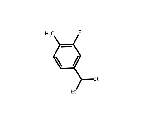 CCC(CC)c1ccc(C)c(F)c1